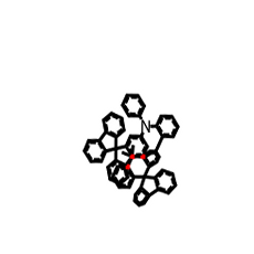 CC1(C)c2ccccc2C2(c3ccccc3-c3ccccc32)c2ccc(-c3ccccc3N(c3ccccc3)c3ccc4c(c3)C3(c5ccccc5-c5ccccc53)c3ccccc3-4)cc21